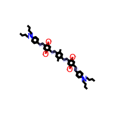 CCCCN(CCCC)c1ccc(/C=C/c2cc(OC)c(/C=C/c3cc(C)c(/C=C/c4cc(OC)c(/C=C/c5ccc(N(CCCC)CCCC)cc5)cc4OC)cc3C)cc2OC)cc1